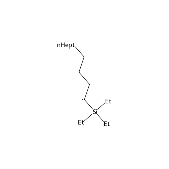 CCCCCCCCCC[CH][Si](CC)(CC)CC